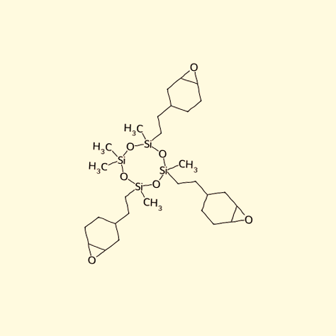 C[Si]1(C)O[Si](C)(CCC2CCC3OC3C2)O[Si](C)(CCC2CCC3OC3C2)O[Si](C)(CCC2CCC3OC3C2)O1